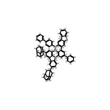 c1ccc(-c2ccc(N3B4c5c(cc(-c6ccccc6)cc5-n5c6ccc(C78CC9CC(CC(C9)C7)C8)cc6c6cc(C78CC9CC(CC(C9)C7)C8)cc4c65)-c4cc5sc6ccccc6c5cc43)cc2)cc1